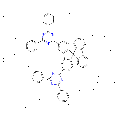 C1=CCCC(c2nc(-c3ccccc3)nc(-c3ccc4c(c3)-c3cc(-c5nc(-c6ccccc6)nc(-c6ccccc6)n5)ccc3C43c4ccccc4-c4ccccc43)n2)=C1